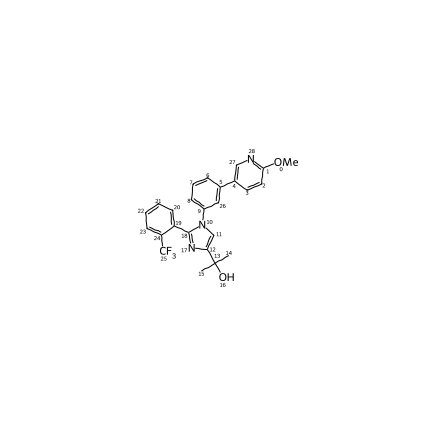 COc1ccc(-c2cccc(-n3cc(C(C)(C)O)nc3-c3ccccc3C(F)(F)F)c2)cn1